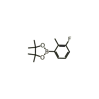 Cc1c(F)cccc1B1OC(C)(C)C(C)(C)O1